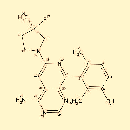 Cc1ccc(O)c(C)c1-c1nc(N2CC[C@@](C)(F)C2)cc2c(N)ncnc12